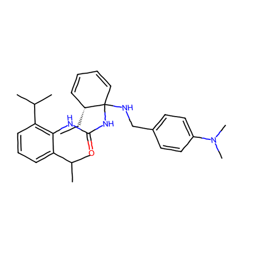 CC[C@@H]1C=CC=CC1(NCc1ccc(N(C)C)cc1)NC(=O)Nc1c(C(C)C)cccc1C(C)C